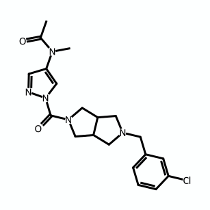 CC(=O)N(C)c1cnn(C(=O)N2CC3CN(Cc4cccc(Cl)c4)CC3C2)c1